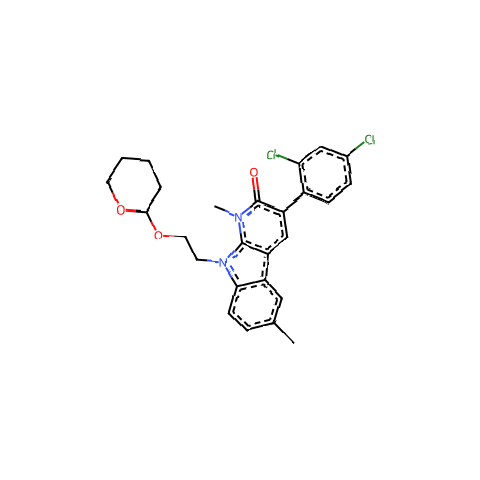 Cc1ccc2c(c1)c1cc(-c3ccc(Cl)cc3Cl)c(=O)n(C)c1n2CCOC1CCCCO1